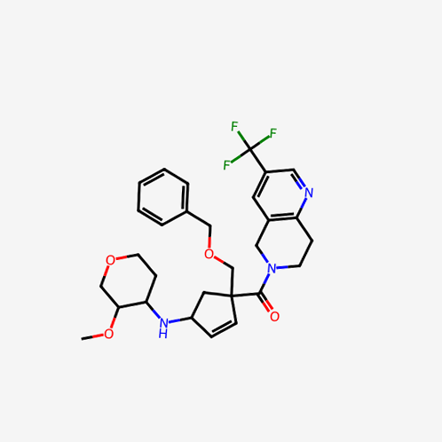 COC1COCCC1NC1C=CC(COCc2ccccc2)(C(=O)N2CCc3ncc(C(F)(F)F)cc3C2)C1